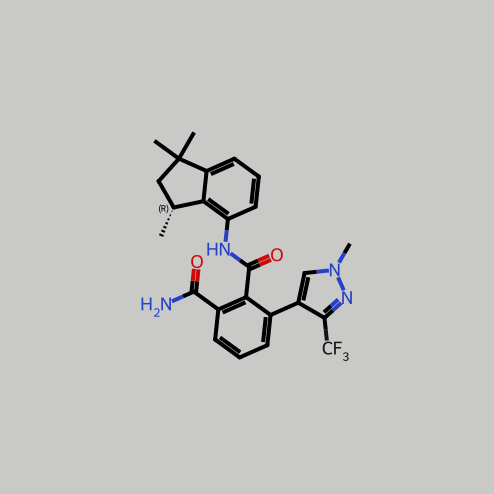 C[C@@H]1CC(C)(C)c2cccc(NC(=O)c3c(C(N)=O)cccc3-c3cn(C)nc3C(F)(F)F)c21